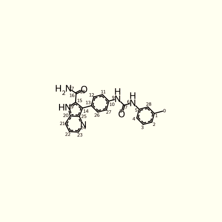 Cc1cccc(NC(=O)Nc2ccc(-c3c(C(N)=O)[nH]c4cccnc34)cc2)c1